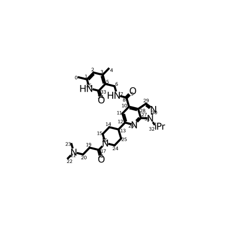 Cc1cc(C)c(CNC(=O)c2cc(C3CCN(C(=O)CCN(C)C)CC3)nc3c2cnn3C(C)C)c(=O)[nH]1